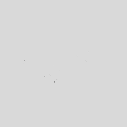 CCC[C@@H](C[C@@H](C)NC(=O)c1ccc(N)cc1F)N1Cc2cnc(Nc3cc(C)cc(C)c3)nc2C1